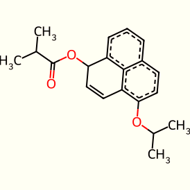 CC(C)Oc1ccc2cccc3c2c1C=CC3OC(=O)C(C)C